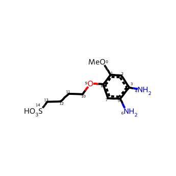 COc1cc(N)c(N)cc1OCCCCS(=O)(=O)O